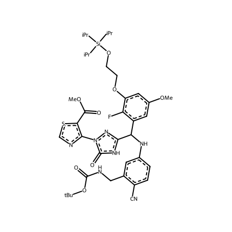 COC(=O)c1scnc1-n1nc(C(Nc2ccc(C#N)c(CNC(=O)OC(C)(C)C)c2)c2cc(OC)cc(OCCO[Si](C(C)C)(C(C)C)C(C)C)c2F)[nH]c1=O